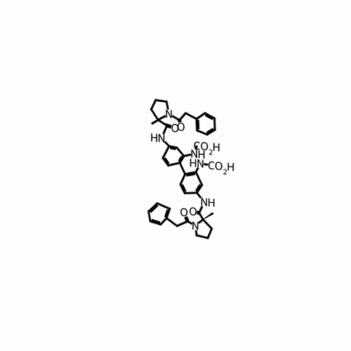 CC1(C(=O)Nc2ccc(-c3ccc(NC(=O)[C@]4(C)CCCN4C(=O)Cc4ccccc4)cc3NC(=O)O)c(NC(=O)O)c2)CCCN1C(=O)Cc1ccccc1